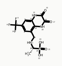 C[C@H](NCc1cc(C(F)(F)F)cc2[nH]c(=O)c(=O)[nH]c12)P(=O)(O)O